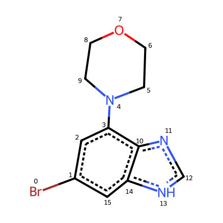 Brc1cc(N2CCOCC2)c2nc[nH]c2c1